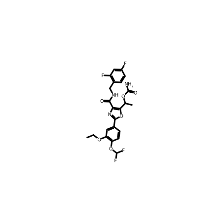 CCOc1cc(-c2nc(C(=O)NCc3ccc(F)cc3F)c(C(C)OC(N)=O)o2)ccc1OC(F)F